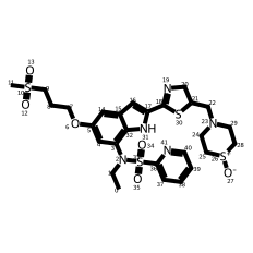 CCN(c1cc(OCCCS(C)(=O)=O)cc2cc(C3=NCC(CN4CC[S+]([O-])CC4)S3)[nH]c12)S(=O)(=O)c1ccccn1